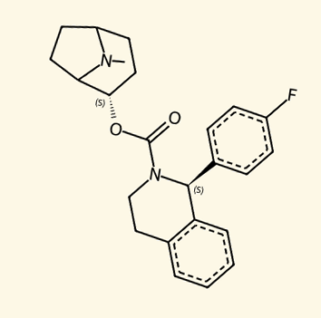 CN1C2CCC1[C@@H](OC(=O)N1CCc3ccccc3[C@@H]1c1ccc(F)cc1)CC2